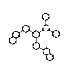 c1ccc(-c2nc(-c3ccccc3)nc(-c3cc(-c4cccc(-c5ccc6ccccc6c5)c4)cc(-c4cccc(-c5ccc6ccccc6c5)c4)c3)n2)cc1